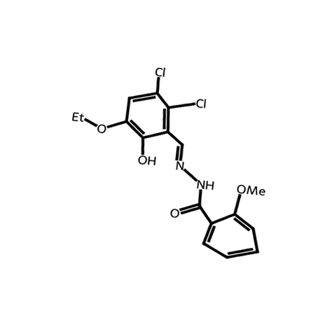 CCOc1cc(Cl)c(Cl)c(/C=N/NC(=O)c2ccccc2OC)c1O